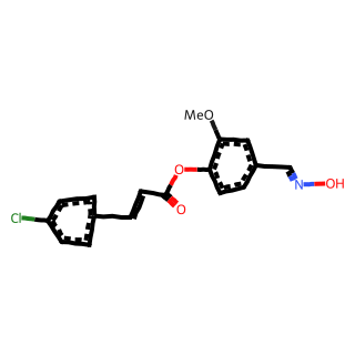 COc1cc(/C=N/O)ccc1OC(=O)/C=C/c1ccc(Cl)cc1